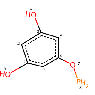 Oc1cc(O)cc(OP)c1